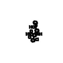 O=C1NC(=O)c2c1c(-c1ccccc1Cl)cc1[nH]c3ccc(C(O)CN4CCCCC4)cc3c21